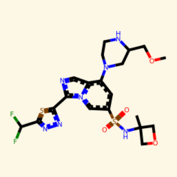 COCC1CN(c2cc(S(=O)(=O)NC3(C)COC3)cn3c(-c4nnc(C(F)F)s4)ncc23)CCN1